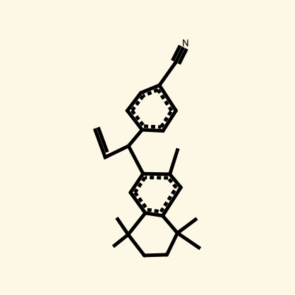 C=CC(c1ccc(C#N)cc1)c1cc2c(cc1C)C(C)(C)CCC2(C)C